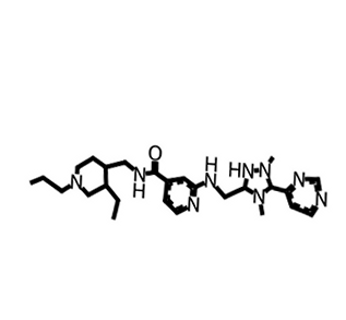 CCCN1CCC(CNC(=O)c2ccnc(NCC3NN(C)C(c4ccncn4)N3C)c2)C(CC)C1